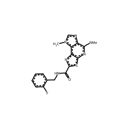 CNc1nc2sc(C(=O)NCc3ccccc3F)nc2c2c1ncn2C